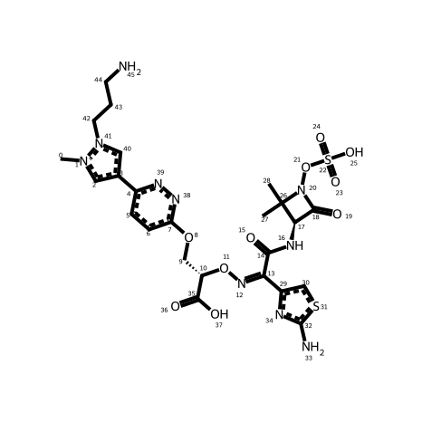 C[n+]1cc(-c2ccc(OC[C@H](O/N=C(\C(=O)N[C@@H]3C(=O)N(OS(=O)(=O)O)C3(C)C)c3csc(N)n3)C(=O)O)nn2)cn1CCCN